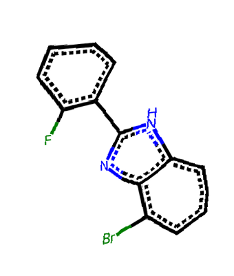 Fc1ccccc1-c1nc2c(Br)cccc2[nH]1